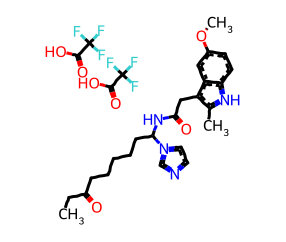 CCC(=O)CCCCCC(NC(=O)Cc1c(C)[nH]c2ccc(OC)cc12)n1ccnc1.O=C(O)C(F)(F)F.O=C(O)C(F)(F)F